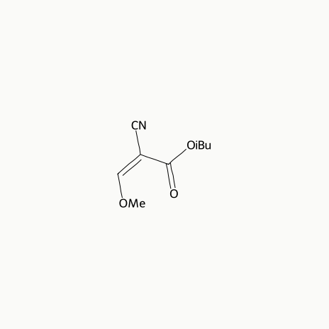 COC=C(C#N)C(=O)OCC(C)C